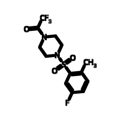 Cc1ccc(F)cc1S(=O)(=O)N1CCN(C(=O)C(F)(F)F)CC1